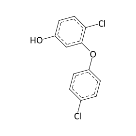 Oc1ccc(Cl)c(Oc2ccc(Cl)cc2)c1